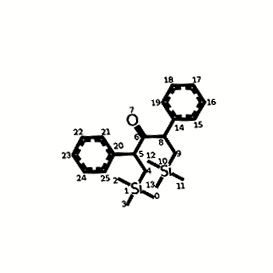 C[Si](C)(C)CC(C(=O)C(C[Si](C)(C)C)c1ccccc1)c1ccccc1